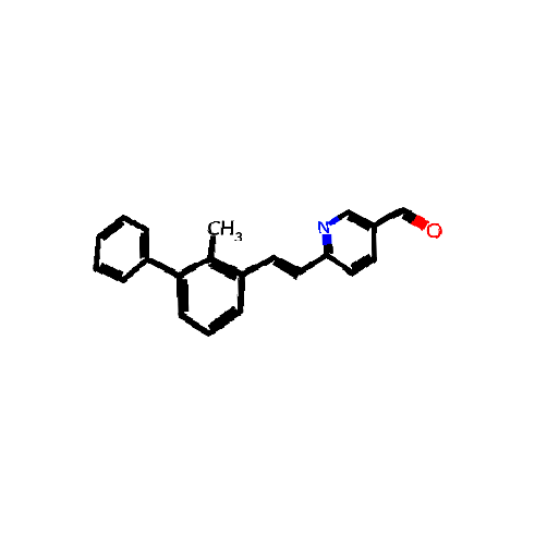 Cc1c(C=Cc2ccc(C=O)cn2)cccc1-c1ccccc1